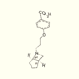 O=C(O)c1ccc(OCCCN2C[C@H]3CCC[C@H]32)cc1